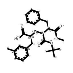 COC(=O)[C@H](Cc1ccccc1)N(N[C@@H](Cc1cccc(C)c1)C(=O)O)C(=O)OC(C)(C)C